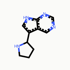 c1ncc2c(C3CCCN3)c[nH]c2n1